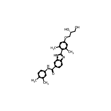 Cc1ccc(NC(=O)c2ccc3nc(-c4c(C)cc(OC[C@H](O)CO)cc4C)[nH]c3c2)cc1C